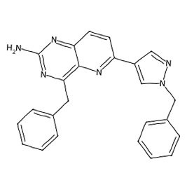 Nc1nc(Cc2ccccc2)c2nc(-c3cnn(Cc4ccccc4)c3)ccc2n1